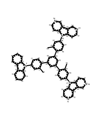 Cc1cc(-n2c3ccccc3c3ccccc32)ccc1-c1cc(-c2ccc(-n3c4ccncc4c4cnccc43)cc2C)cc(-c2ccc(-n3c4ccncc4c4cnccc43)cc2C)c1